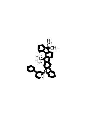 CC1(C)c2ccccc2-c2c1ccc1c2C(C)(C)c2cc3c(cc2-1)c1ccccc1n3-c1cc(-c2ccccc2)ccn1